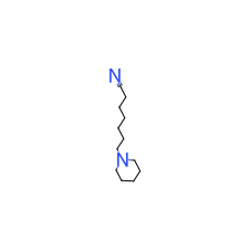 N#CCCCCCCN1CCCCC1